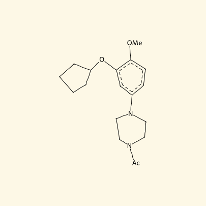 COc1ccc(N2CCN(C(C)=O)CC2)cc1OC1CCCC1